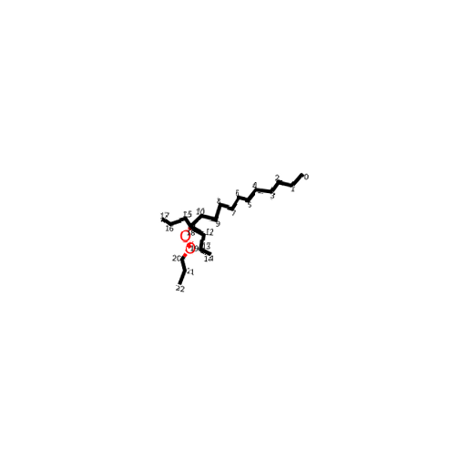 CCCCCCCCCCCC(CCC)(CCC)OOCCC